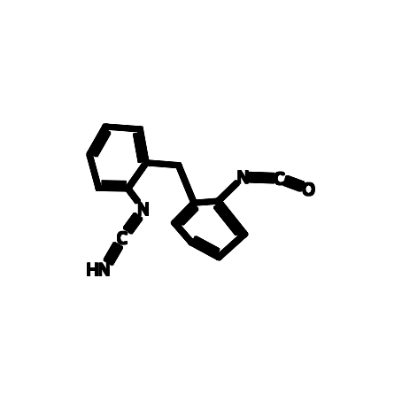 N=C=Nc1ccccc1Cc1ccccc1N=C=O